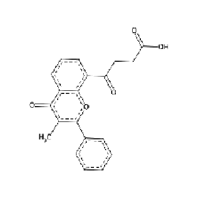 Cc1c(-c2ccccc2)oc2c(C(=O)CCC(=O)O)cccc2c1=O